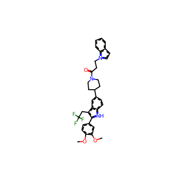 COc1ccc(-c2[nH]c3ccc(C4CCN(C(=O)CCn5ccc6ccccc65)CC4)cc3c2CC(F)(F)F)cc1OC